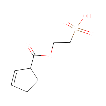 O=C(OCCS(=O)(=O)O)C1C=CCC1